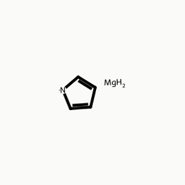 C1=C[N]C=C1.[MgH2]